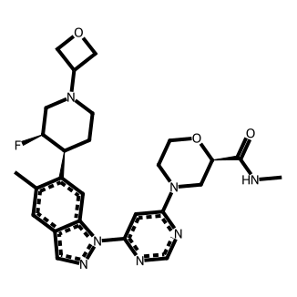 CNC(=O)[C@H]1CN(c2cc(-n3ncc4cc(C)c([C@@H]5CCN(C6COC6)C[C@@H]5F)cc43)ncn2)CCO1